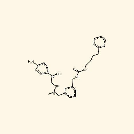 C[C@H](Cc1cccc(CNC(=O)NCCCCc2ccccc2)c1)NC[C@H](O)c1ccc(N)nc1